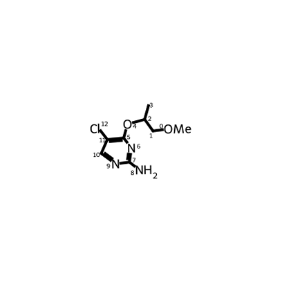 COCC(C)Oc1nc(N)ncc1Cl